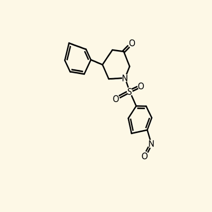 O=Nc1ccc(S(=O)(=O)N2CC(=O)CC(c3ccccc3)C2)cc1